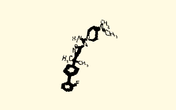 CN(C)C1CCN(C(N)=Nc2cc(C(C)(C)c3ccc(-c4ccccc4F)cc3)no2)CC1